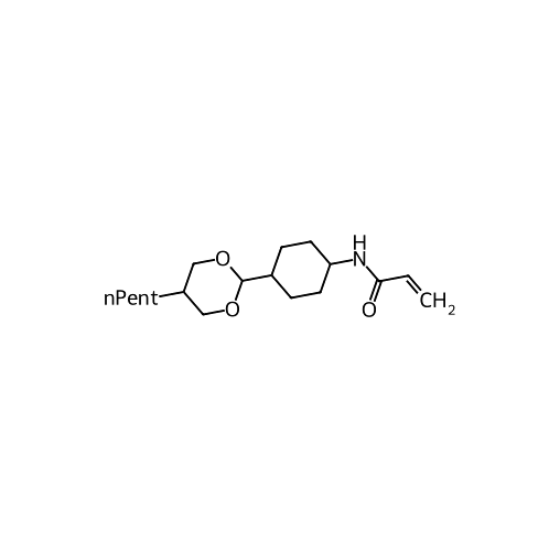 C=CC(=O)NC1CCC(C2OCC(CCCCC)CO2)CC1